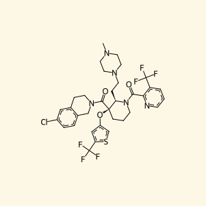 CN1CCN(CC[C@H]2N(C(=O)c3ncccc3C(F)(F)F)CCC[C@]2(Oc2csc(C(F)(F)F)c2)C(=O)N2CCc3cc(Cl)ccc3C2)CC1